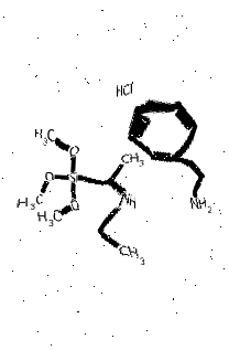 CCNC(C)[Si](OC)(OC)OC.Cl.NCc1ccccc1